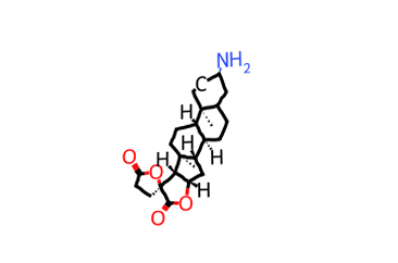 C[C@]12CC[C@H]3[C@@H](CCC4C[C@@H](N)CC[C@@]43C)[C@@H]1C[C@@H]1OC(=O)[C@]3(CCC(=O)O3)[C@@H]12